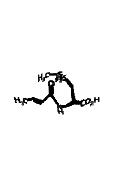 CC=CC(=O)NC(CS)C(=O)O.CS